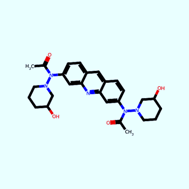 CC(=O)N(c1ccc2cc3ccc(N(C(C)=O)N4CCCC(O)C4)cc3nc2c1)N1CCCC(O)C1